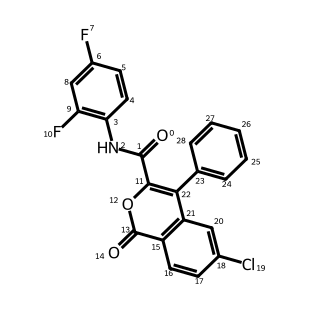 O=C(Nc1ccc(F)cc1F)c1oc(=O)c2ccc(Cl)cc2c1-c1ccccc1